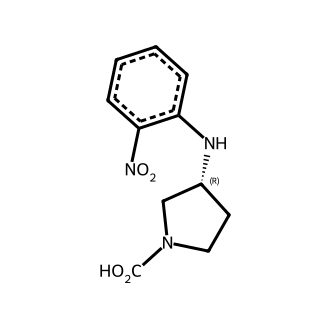 O=C(O)N1CC[C@@H](Nc2ccccc2[N+](=O)[O-])C1